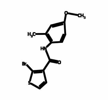 COc1ccc(NC(=O)c2ccsc2Br)c(C)c1